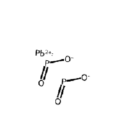 O=P[O-].O=P[O-].[Pb+2]